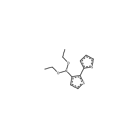 CCON(OCC)c1ccsc1-c1cccs1